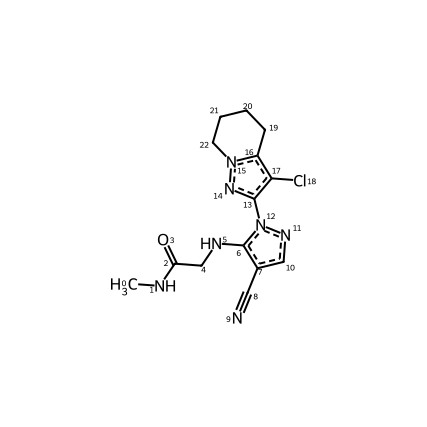 CNC(=O)CNc1c(C#N)cnn1-c1nn2c(c1Cl)CCCC2